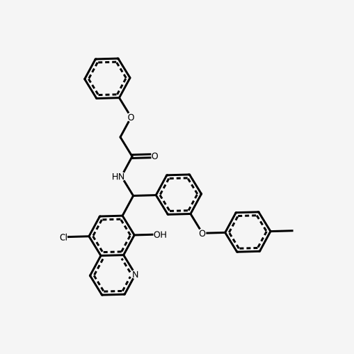 Cc1ccc(Oc2cccc(C(NC(=O)COc3ccccc3)c3cc(Cl)c4cccnc4c3O)c2)cc1